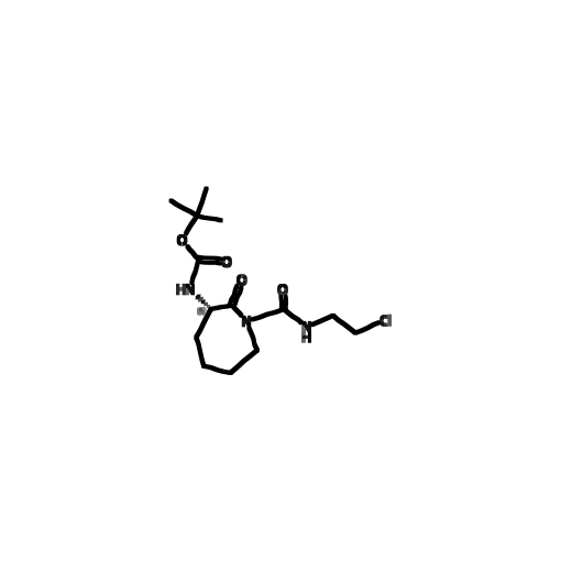 CC(C)(C)OC(=O)N[C@H]1CCCCN(C(=O)NCCCl)C1=O